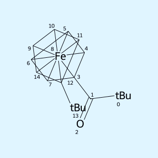 CC(C)(C)C(=O)[C]12[CH]3[CH]4[CH]5[CH]1[Fe]45321678[CH]2[CH]1[CH]6[C]7(C(C)(C)C)[CH]28